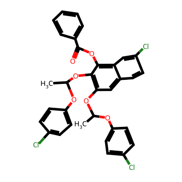 CC(Oc1ccc(Cl)cc1)Oc1cc2ccc(Cl)cc2c(OC(=O)c2ccccc2)c1OC(C)Oc1ccc(Cl)cc1